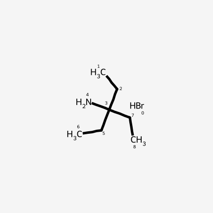 Br.CCC(N)(CC)CC